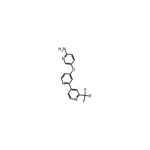 Nc1ccc(Oc2ccnc(-c3ccnc(C(F)(F)F)c3)c2)cn1